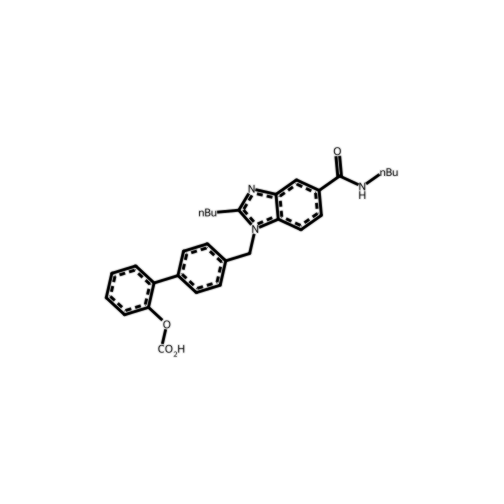 CCCCNC(=O)c1ccc2c(c1)nc(CCCC)n2Cc1ccc(-c2ccccc2OC(=O)O)cc1